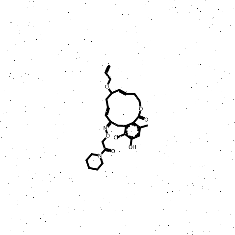 C=CCOC1/C=C/CCOC(=O)c2c(C)cc(O)c(Cl)c2CC(=N\OCC(=O)N2CCCCC2)/C=C/C1